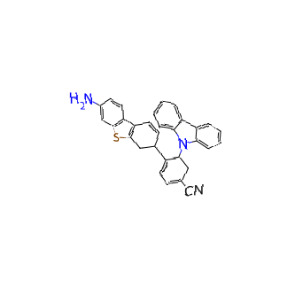 N#CC1=CC=C(C2C=Cc3c(sc4cc(N)ccc34)C2)C(n2c3ccccc3c3ccccc32)C1